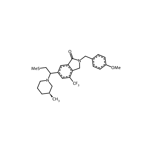 COc1ccc(CN2Cc3c(cc(C(CSC)N4CCC[C@H](C)C4)cc3C(F)(F)F)C2=O)cc1